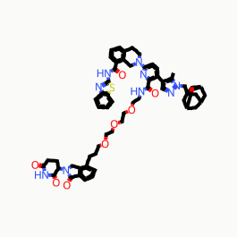 Cc1c(-c2ccc(N3CCc4cccc(C(=O)Nc5nc6ccccc6s5)c4C3)nc2C(=O)NCCOCCOCCOCCCc2cccc3c2CN(C2CCC(=O)NC2=O)C3=O)cnn1CC12CC3CC(CC(C3)C1)C2